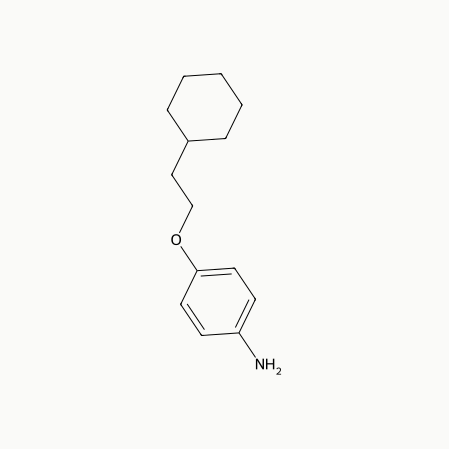 Nc1ccc(OCCC2CCCCC2)cc1